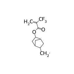 [CH2]C1CC2CC1CC2OC(=O)C(=C)C(F)(F)F